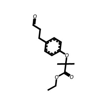 CCOC(=O)C(C)(C)Oc1ccc(CCC=O)cc1